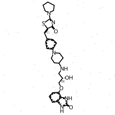 O=C1N=C(N2CCCCC2)S/C1=C/c1ccc(N2CCC(NC[C@H](O)COc3cccc4[nH]c(=O)[nH]c34)CC2)cc1